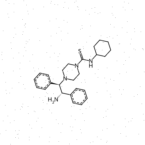 N[C@@H](c1ccccc1)[C@@H](c1ccccc1)N1CCN(C(=S)NC2CCCCC2)CC1